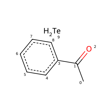 CC(=O)c1ccccc1.[TeH2]